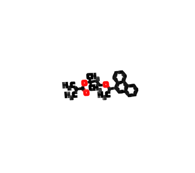 C=C(C)C(=O)OC(C)(C)CCOC(C)c1cc2ccccc2c2ccccc12